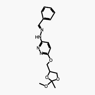 COC1(C)OCC(COc2ccc(NN=Cc3ccccc3)nn2)O1